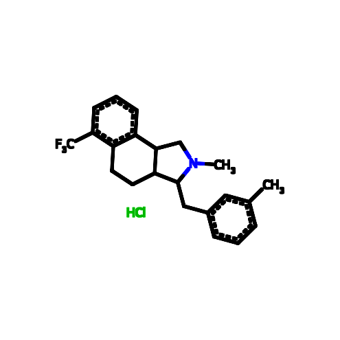 Cc1cccc(CC2C3CCc4c(cccc4C(F)(F)F)C3CN2C)c1.Cl